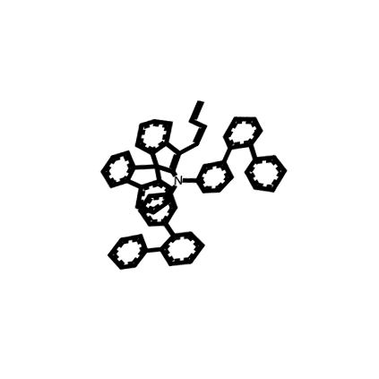 C=C/C=C\C1=C(N(c2cccc(-c3ccccc3-c3ccccc3)c2)c2cccc(-c3ccccc3-c3ccccc3)c2)C2(c3ccccc31)c1ccccc1-c1ccccc12